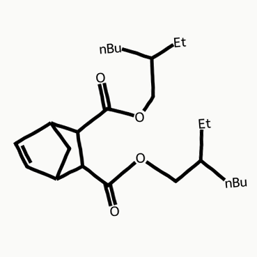 CCCCC(CC)COC(=O)C1C2C=CC(C2)C1C(=O)OCC(CC)CCCC